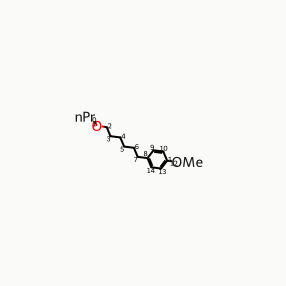 [CH2]CCOCCCCCCc1ccc(OC)cc1